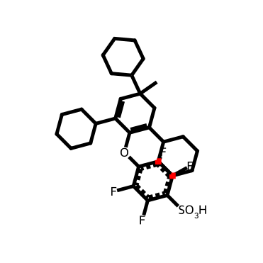 CC1(C2CCCCC2)C=C(C2CCCCC2)C(Oc2c(F)c(F)c(S(=O)(=O)O)c(F)c2F)=C(C2CCCCC2)C1